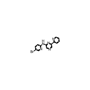 Brc1ccc(Nc2cncc(-c3ccccn3)n2)nc1